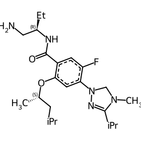 CC[C@H](CN)NC(=O)c1cc(F)c(N2CN(C)C(C(C)C)=N2)cc1O[C@@H](C)CC(C)C